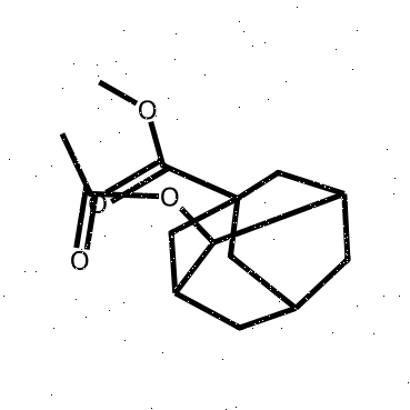 COC(=O)C12CC3CC(C1)C(OC(C)=O)C(C3)C2